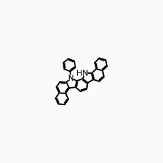 c1ccc(-n2c3ccc4ccccc4c3c3ccc4c5ccc6ccccc6c5[nH]c4c32)cc1